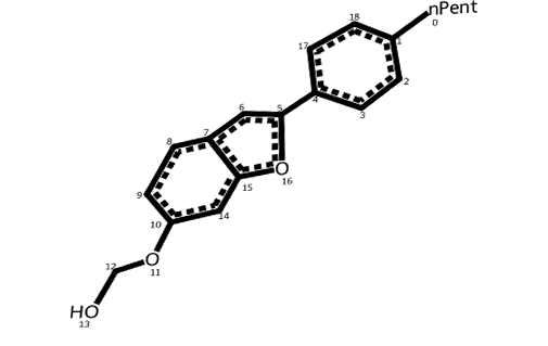 CCCCCc1ccc(-c2cc3ccc(OCO)cc3o2)cc1